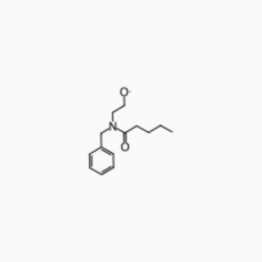 CCCCC(=O)N(CC[O])Cc1ccccc1